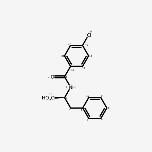 O=C(N[C@@H](Cc1ccccc1)C(=O)O)c1ccc(Cl)cc1